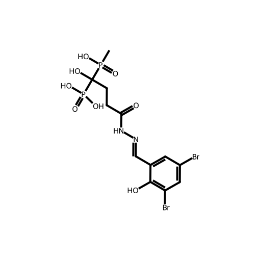 CP(=O)(O)C(O)(CCC(=O)N/N=C/c1cc(Br)cc(Br)c1O)P(=O)(O)O